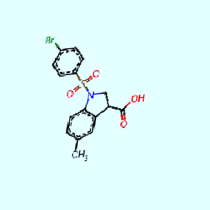 Cc1ccc2c(c1)C(C(=O)O)CN2S(=O)(=O)c1ccc(Br)cc1